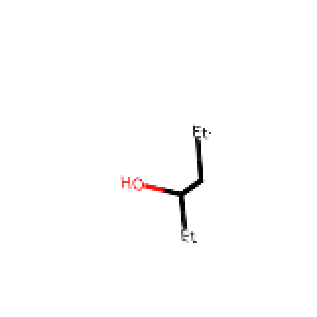 C[CH]CC(O)CC